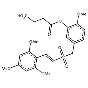 COc1cc(OC)c(C=CS(=O)(=O)Cc2ccc(OC)c(OC(=O)CCC(=O)O)c2)c(OC)c1